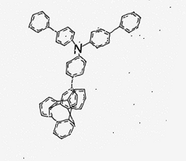 c1ccc(-c2ccc(N(c3ccc(-c4ccccc4)cc3)c3ccc(-c4ccc5c(c4)-c4c6cccc4-c4cccc-5c4-c4ccccc4-6)cc3)cc2)cc1